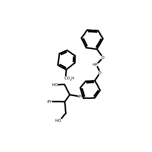 CC(C)C(CO)C(CO)C(C)C.O=C(O)c1ccccc1.c1ccc(OPOc2ccccc2)cc1